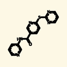 O=C(Nc1cccnc1)c1ccc(Sc2ncccn2)nc1